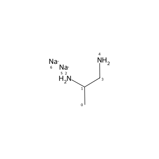 CC(N)CN.[Na].[Na]